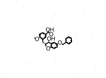 COc1ccc(C(=O)O)cc1C[C@@H]1COc2ccc(OCc3ccccc3)cc2[C@@H]1O